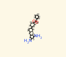 Nc1cc(N)cc(CC2CCC(C3CCC(OC(=O)c4ccccc4)CC3)CC2)c1